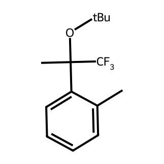 Cc1ccccc1C(C)(OC(C)(C)C)C(F)(F)F